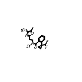 CCN(CCc1nc(C(C)(C)C)c(C)o1)C(=O)c1ccccc1C1(C(F)F)CC1